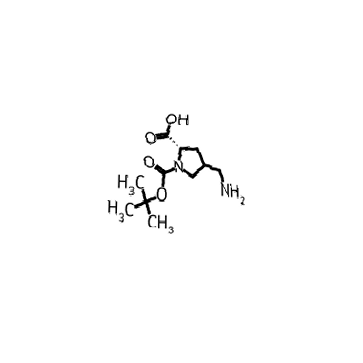 CC(C)(C)OC(=O)N1CC(CN)C[C@H]1C(=O)O